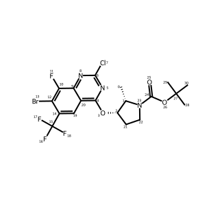 C[C@H]1[C@@H](Oc2nc(Cl)nc3c(F)c(Br)c(C(F)(F)F)cc23)CCN1C(=O)OC(C)(C)C